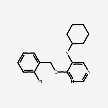 Clc1ccccc1COc1ncncc1NC1CCCCC1